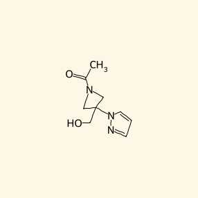 CC(=O)N1CC(CO)(n2cccn2)C1